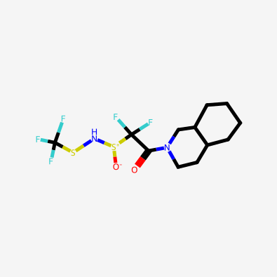 O=C(N1CCC2CCCCC2C1)C(F)(F)[S+]([O-])NSC(F)(F)F